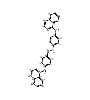 c1ccc2c(Oc3ccc(SSc4ccc(Oc5cccc6ccccc56)cc4)cc3)cccc2c1